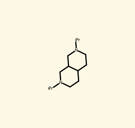 CC(C)N1CCC2CCN(C(C)C)CC2C1